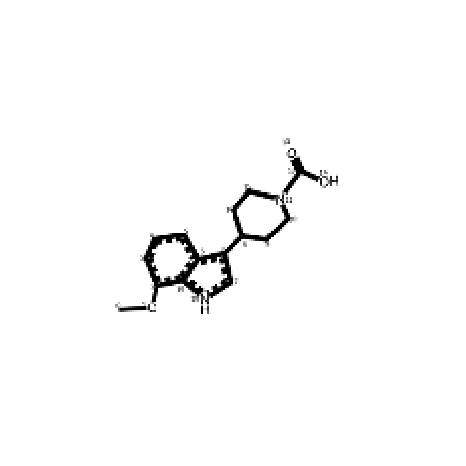 COc1cccc2c(C3CCN(C(=O)O)CC3)c[nH]c12